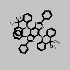 CC1(C)c2ccccc2N(c2c3nc(-c4ccccc4)n(-c4ccccc4)c3c(N3c4ccccc4C(C)(C)c4ccccc43)c3nc(-c4ccccc4)sc23)c2ccccc21